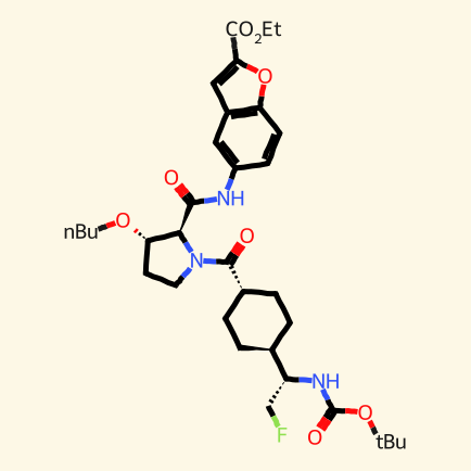 CCCCO[C@H]1CCN(C(=O)[C@H]2CC[C@H]([C@@H](CF)NC(=O)OC(C)(C)C)CC2)[C@@H]1C(=O)Nc1ccc2oc(C(=O)OCC)cc2c1